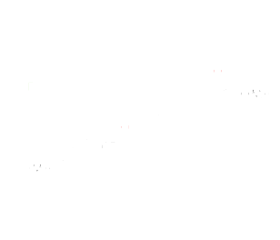 C=C(c1c(COc2cccc(CCC(=O)OC)c2)csc1-c1cc(OC)ccc1F)C(F)(F)F